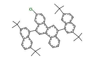 CC(C)(C)c1cc(-c2cc3c4ccc(Cl)cc4c(-c4cc(C(C)(C)C)cc5ccc(C(C)(C)C)cc45)cc3c3ccccc23)c2cc(C(C)(C)C)ccc2c1